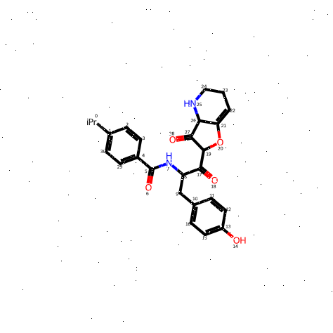 CC(C)c1ccc(C(=O)NC(Cc2ccc(O)cc2)C(=O)C2OC3=CCCNC3C2=O)cc1